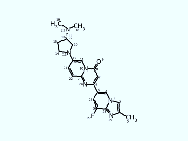 Cc1cn2cc(-c3cc(=O)n4cc(N5CC[C@H](N(C)C)C5)ccc4n3)cc(F)c2n1